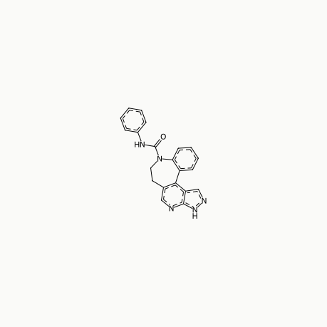 O=C(Nc1ccccc1)N1CCc2cnc3[nH]ncc3c2-c2ccccc21